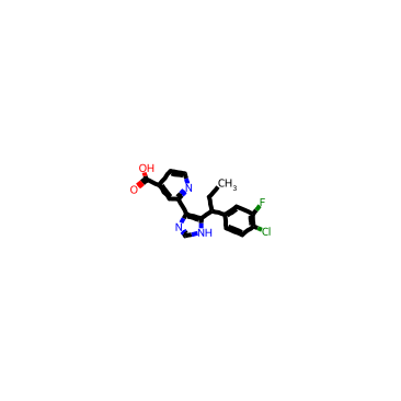 CCC(c1ccc(Cl)c(F)c1)c1[nH]cnc1-c1cc(C(=O)O)ccn1